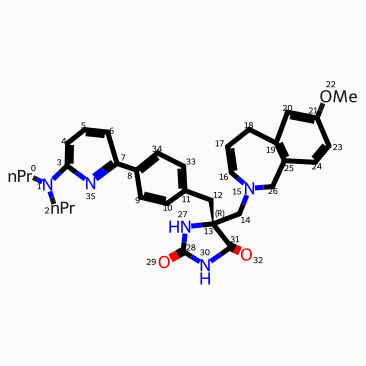 CCCN(CCC)c1cccc(-c2ccc(C[C@]3(CN4C=CCc5cc(OC)ccc5C4)NC(=O)NC3=O)cc2)n1